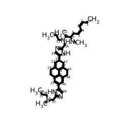 C=C/C=C\C=C/CC(NC)C(=C)N(CCC)Cc1ncc(C2C=C3CCc4cc(-c5cnc(CN(C)CCC)[nH]5)cc5c4C3=C(CC5)C2)[nH]1